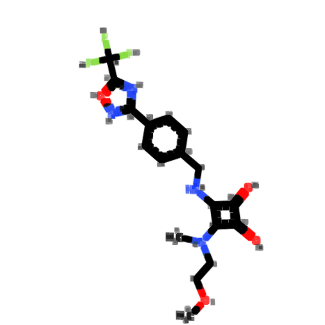 COCCN(C)c1c(NCc2ccc(-c3noc(C(F)(F)F)n3)cc2)c(=O)c1=O